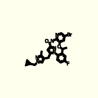 Cc1cc(Cc2cn(CC3CC3)nc2C)n(-c2ccc(F)cc2C(C)Oc2cc(Br)cnc2[N+](=O)[O-])n1